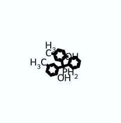 Cc1ccc(O)c(C(P)(c2ccccc2)c2cc(C)ccc2O)c1